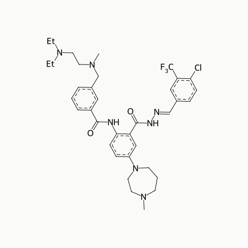 CCN(CC)CCN(C)Cc1cccc(C(=O)Nc2ccc(N3CCCN(C)CC3)cc2C(=O)NN=Cc2ccc(Cl)c(C(F)(F)F)c2)c1